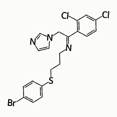 Clc1ccc(C(Cn2ccnc2)=NCCCSc2ccc(Br)cc2)c(Cl)c1